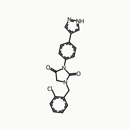 O=C1CN(Cc2ccccc2Cl)C(=O)N1c1ccc(-c2cn[nH]c2)cc1